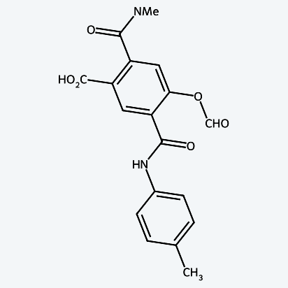 CNC(=O)c1cc(OC=O)c(C(=O)Nc2ccc(C)cc2)cc1C(=O)O